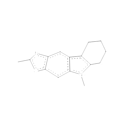 Cc1nc2cc3c4c(n(C)c3cc2o1)CCCC4